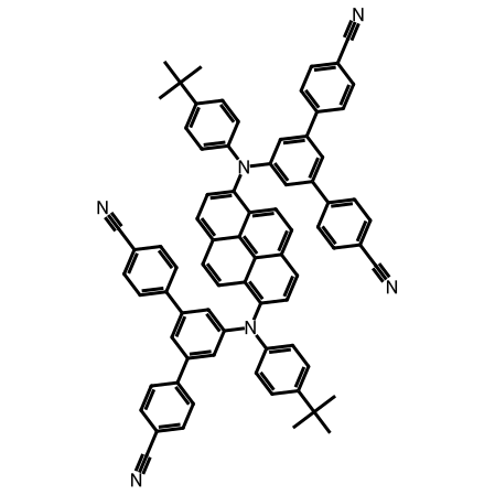 CC(C)(C)c1ccc(N(c2cc(-c3ccc(C#N)cc3)cc(-c3ccc(C#N)cc3)c2)c2ccc3ccc4c(N(c5ccc(C(C)(C)C)cc5)c5cc(-c6ccc(C#N)cc6)cc(-c6ccc(C#N)cc6)c5)ccc5ccc2c3c54)cc1